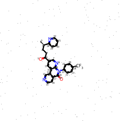 C[C@H](CCC(=O)c1cnc2c(c1)c1cnccc1c(=O)n2-c1ccc(C(F)(F)F)cc1)c1ccccn1